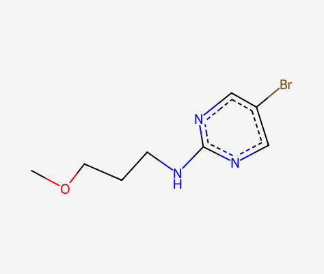 COCCCNc1ncc(Br)cn1